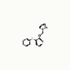 c1ccc(Oc2ccccc2OCn2ccnn2)cc1